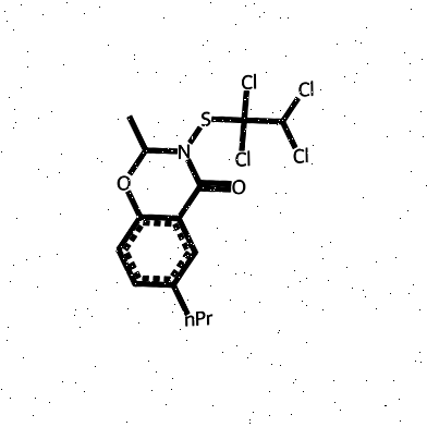 CCCc1ccc2c(c1)C(=O)N(SC(Cl)(Cl)C(Cl)Cl)C(C)O2